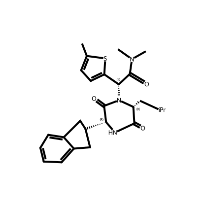 Cc1ccc([C@H](C(=O)N(C)C)N2C(=O)[C@@H](C3Cc4ccccc4C3)NC(=O)[C@H]2CC(C)C)s1